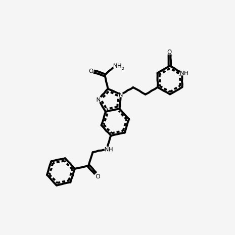 NC(=O)c1nc2cc(NCC(=O)c3ccccc3)ccc2n1CCc1cc[nH]c(=O)c1